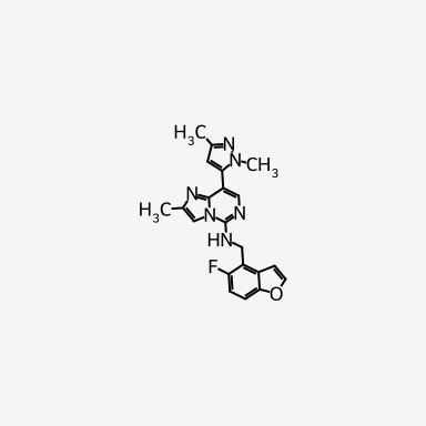 Cc1cn2c(NCc3c(F)ccc4occc34)ncc(-c3cc(C)nn3C)c2n1